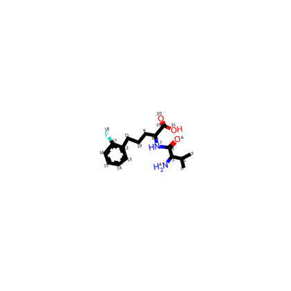 CC(C)C(N)C(=O)NC(CCCc1ccccc1F)C(=O)O